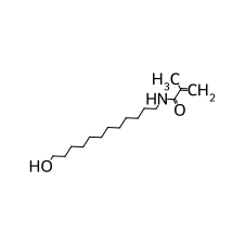 C=C(C)C(=O)NCCCCCCCCCCCCO